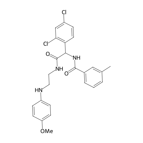 COc1ccc(NCCNC(=O)C(NC(=O)c2cccc(C)c2)c2ccc(Cl)cc2Cl)cc1